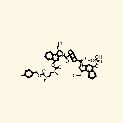 Cc1ccc(COC(=O)N(C)CCN(C)C(=O)Oc2cc3c(c4ccccc24)[C@H](CCl)CN3C(=O)C23C4C5C2C2C3C4C52C(=O)N2C[C@@H](CCl)c3c2cc(OP(=O)(O)O)c2ccccc32)cc1